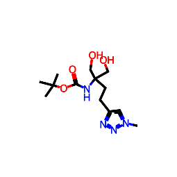 Cn1cc(CCC(CO)(CO)NC(=O)OC(C)(C)C)nn1